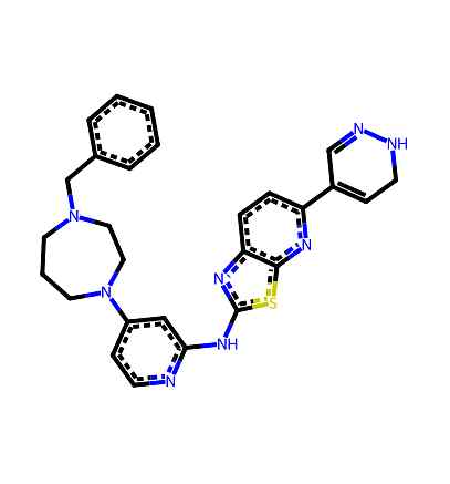 C1=NNCC=C1c1ccc2nc(Nc3cc(N4CCCN(Cc5ccccc5)CC4)ccn3)sc2n1